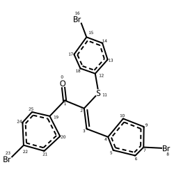 O=C(C(=Cc1ccc(Br)cc1)Sc1ccc(Br)cc1)c1ccc(Br)cc1